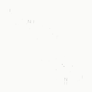 C=CC(=O)NCc1ccc(F)c(-c2cccc(CN3CCN[C@@H](C)C3)c2)c1